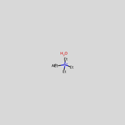 CC[N+](CC)(CC)CC.O.[Al+3]